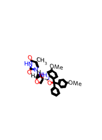 COc1ccc(C(OC[C@@]23CO[C@@H]([C@H](n4cc(C)c(=O)[nH]c4=O)O2)[C@@H]3N)(c2ccccc2)c2ccc(OC)cc2)cc1